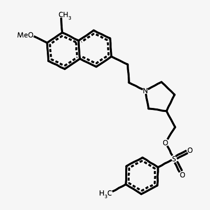 COc1ccc2cc(CCN3CCC(COS(=O)(=O)c4ccc(C)cc4)C3)ccc2c1C